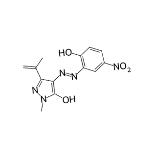 C=C(C)c1nn(C)c(O)c1N=Nc1cc([N+](=O)[O-])ccc1O